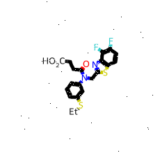 CCSc1cccc(N(Cc2nc3c(F)c(F)ccc3s2)C(=O)CCC(=O)O)c1